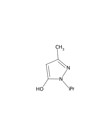 Cc1cc(O)n(C(C)C)n1